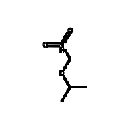 CC(C)OC[SH](=O)=O